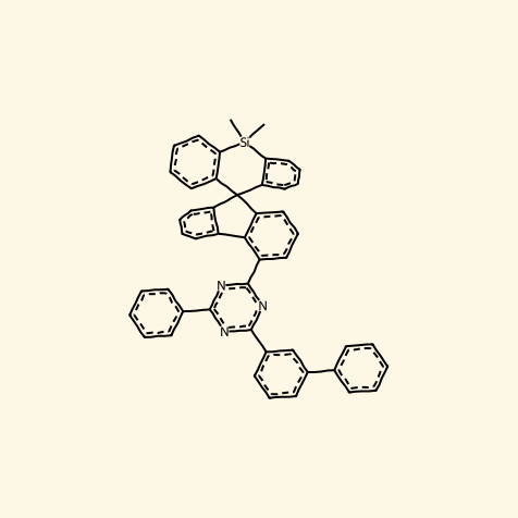 C[Si]1(C)c2ccccc2C2(c3ccccc3-c3c(-c4nc(-c5ccccc5)nc(-c5cccc(-c6ccccc6)c5)n4)cccc32)c2ccccc21